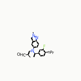 C=C(c1ccc(CCC)c(F)c1)N(/C=C(\C)C=O)c1ccc2nn(C)cc2c1